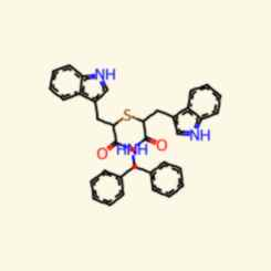 O=C(NCc1ccccc1)C(Cc1c[nH]c2ccccc12)SC(Cc1c[nH]c2ccccc12)C(=O)NCc1ccccc1